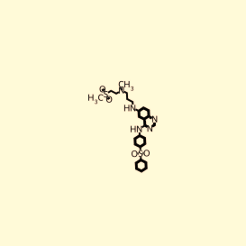 CN(CCCNc1ccc2ncnc(Nc3ccc(S(=O)(=O)c4ccccc4)cc3)c2c1)CCS(C)(=O)=O